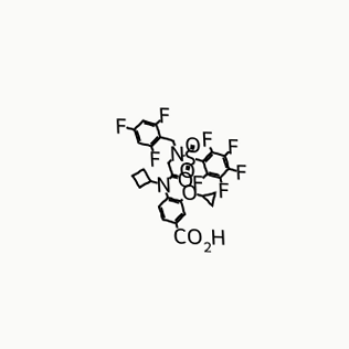 O=C(O)c1ccc(N(C(=O)CN(Cc2c(F)cc(F)cc2F)S(=O)(=O)c2c(F)c(F)c(F)c(F)c2F)C2CCC2)c(OC2CC2)c1